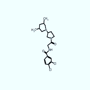 CC1CC(C)CN(C2CCN(C(=O)CNC(=O)c3ccc(Cl)c(Cl)c3)C2)C1